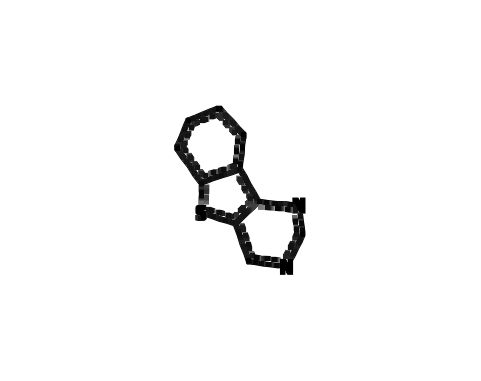 c1ccc2c(c1)sc1cncnc12